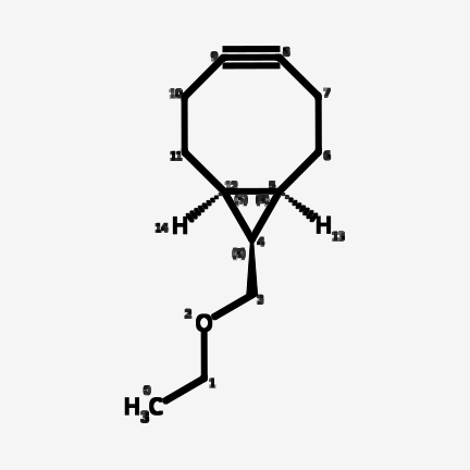 CCOC[C@@H]1[C@@H]2CCC#CCC[C@@H]21